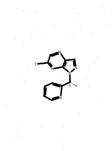 C[C@H](c1ccccn1)n1ncc2ncc(Cl)nc21